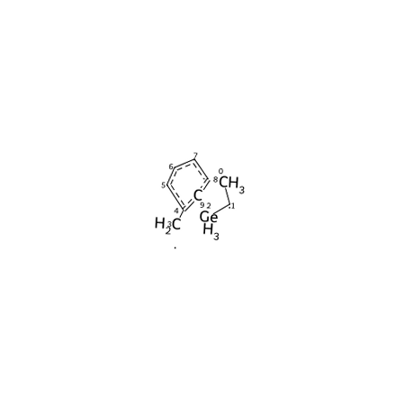 C[CH][GeH3].[CH2]c1ccccc1